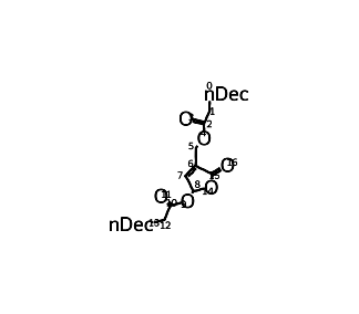 CCCCCCCCCCCC(=O)OCC1=CC(OC(=O)CCCCCCCCCCC)OC1=O